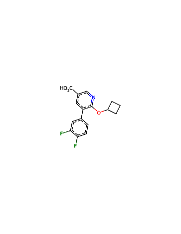 O=C(O)c1cnc(OC2CCC2)c(-c2ccc(F)c(F)c2)c1